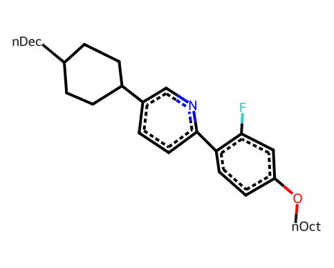 CCCCCCCCCCC1CCC(c2ccc(-c3ccc(OCCCCCCCC)cc3F)nc2)CC1